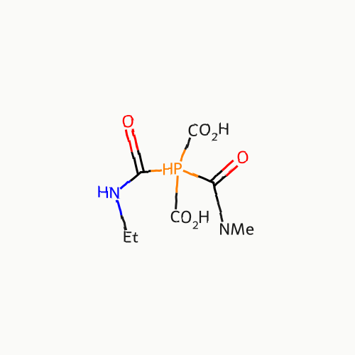 CCNC(=O)[PH](C(=O)O)(C(=O)O)C(=O)NC